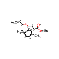 CCCCOC(=O)CCCOCCOC(C)=O.Cc1ccc(C)cc1